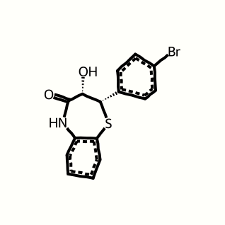 O=C1Nc2ccccc2S[C@@H](c2ccc(Br)cc2)[C@H]1O